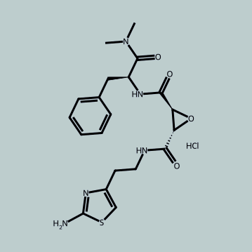 CN(C)C(=O)[C@H](Cc1ccccc1)NC(=O)[C@H]1O[C@@H]1C(=O)NCCc1csc(N)n1.Cl